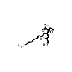 CCCCCCCCCC(CC(O)CO)C1(C(=O)O)CCO1